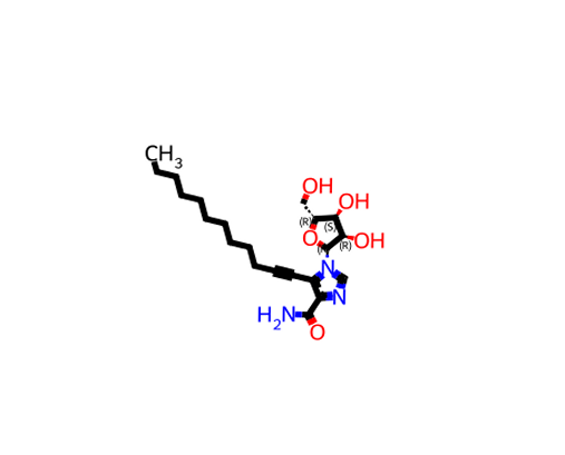 CCCCCCCCCCC#Cc1c(C(N)=O)ncn1[C@@H]1O[C@H](CO)[C@@H](O)[C@H]1O